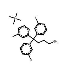 C[N+](C)(C)C.[BH3-]CCCC(c1cccc(F)c1)(c1cccc(F)c1)c1cccc(F)c1